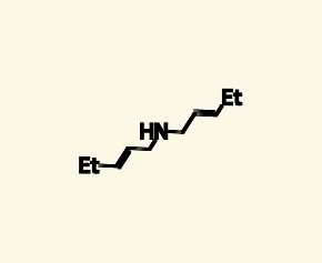 CCC=CCNCC=CCC